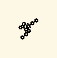 c1ccc(-c2ccc(-c3nc(-c4ccccc4)nc(-c4cccc5c6ccccc6n(-c6ccc7oc8ccc(-c9ccccc9)cc8c7c6)c45)n3)cc2)cc1